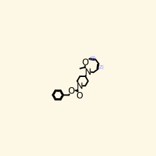 CC1O/C=C\C=C/CN1C1CCN(C(=O)OCc2ccccc2)CC1